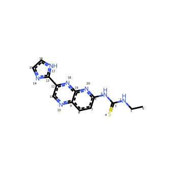 CCNC(=S)Nc1ccc2ncc(-c3ncc[nH]3)nc2n1